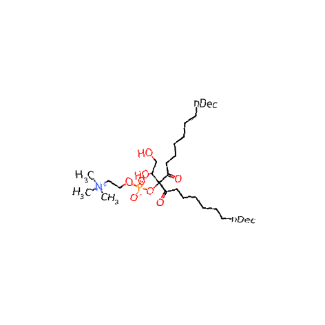 CCCCCCCCCCCCCCCCC(=O)C(OP(=O)([O-])OCC[N+](C)(C)C)(C(=O)CCCCCCCCCCCCCCCC)[C@@H](O)CO